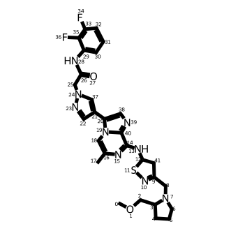 COCC1CCCN1CC1=NSC(Nc2nc(C)cn3c(-c4cnn(CC(=O)Nc5cccc(F)c5F)c4)cnc23)C1